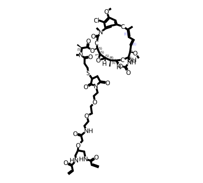 C=CC(=O)NCC(CNC(=O)C=C)OCC(=O)NCCOCCOCCN1C(=O)CC(SCCC(=O)N(C)[C@@H](C)C(=O)O[C@H]2CC(=O)N(C)c3cc(cc(OC)c3Cl)C/C(C)=C/C=C/[C@@H](OC)[C@@]3(O)C[C@H](OC(=O)N3)[C@@H](C)[C@@H]3O[C@@]23C)C1=O